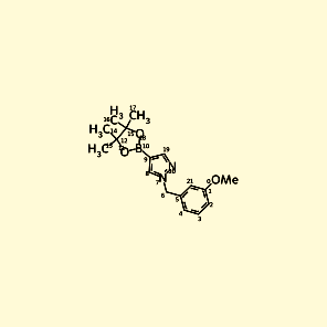 COc1cccc(Cn2cc(B3OC(C)(C)C(C)(C)O3)cn2)c1